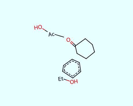 CC(C)=O.CCO.CO.O=C1CCCCC1.c1ccccc1